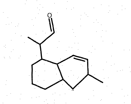 CC1[C]C2CCCC(C(C)C=O)C2C=C1